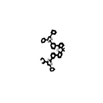 C/C=C\C(=C/C)c1cc(-c2ccccc2)nc(-c2cccc(-c3cccc4c3Oc3c(-c5cccc(-c6nc(-c7ccccc7)cc(-c7ccccc7)n6)c5)cccc3C4(C)C)c2)n1